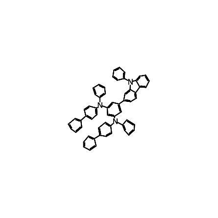 c1ccc(-c2ccc(N(c3ccccc3)c3cc(-c4ccc5c6ccccc6n(-c6ccccc6)c5c4)cc(N(c4ccccc4)c4ccc(-c5ccccc5)cc4)c3)cc2)cc1